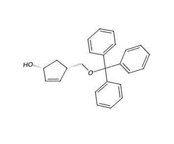 O[C@H]1C=C[C@@H](COC(c2ccccc2)(c2ccccc2)c2ccccc2)C1